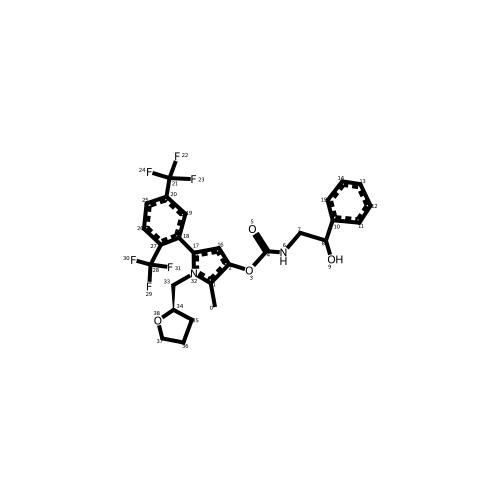 Cc1c(OC(=O)NCC(O)c2ccccc2)cc(-c2cc(C(F)(F)F)ccc2C(F)(F)F)n1C[C@H]1CCCO1